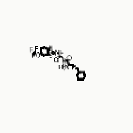 N[C@H](COCc1ccccc1)C(=O)NCC(=O)Nc1nc2ccc(OC(F)(F)F)cc2s1